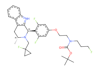 C[C@@H]1Cc2c([nH]c3ccccc23)[C@@H](c2c(F)cc(OCCN(CCCF)C(=O)OC(C)(C)C)cc2F)N1CC1(F)CC1